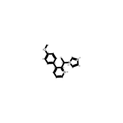 COc1ccc(-c2cccnc2C(C)n2ccnc2)cc1